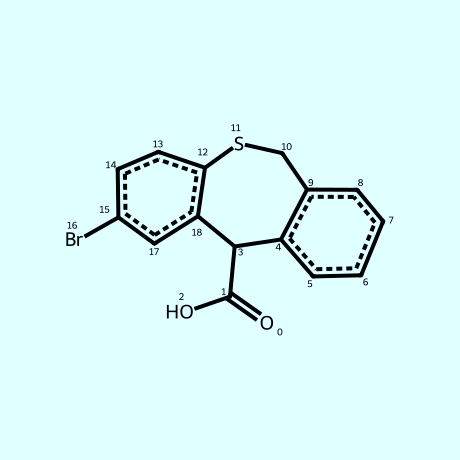 O=C(O)C1c2ccccc2CSc2ccc(Br)cc21